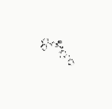 Cl.Cl.NC(CC(=O)NC1C2CN(c3ncnc4ccccc34)CC21)Cc1ccccc1